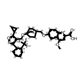 COc1cc(C(=O)O)nc2ccc(OCC34CCC(OCc5c(-c6ccccc6C(F)(F)F)noc5C5CC5)(CC3)CC4)cc12